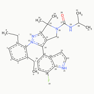 CCc1cccc(CC)c1-n1nc2c(c1-c1ccc(F)c3[nH]ccc13)CN(C(=O)NC(C)C)C2(C)C